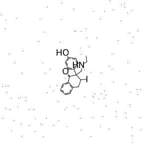 CCNCC1(c2ccc(O)cc2)C(=O)c2ccccc2CC1I